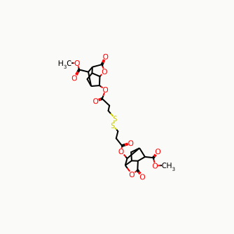 COC(=O)C1C2CC3C(OC(=O)C31)C2OC(=O)CCSSCCC(=O)OC1C2CC3C1OC(=O)C3C2C(=O)OC